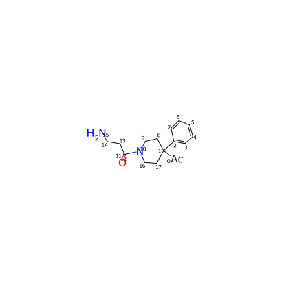 CC(=O)C1(c2ccccc2)CCN(C(=O)CCN)CC1